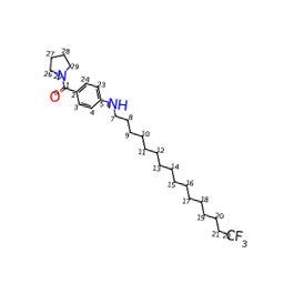 O=C(c1ccc(NCCCCCCCCCCCCCCCC(F)(F)F)cc1)N1CCCC1